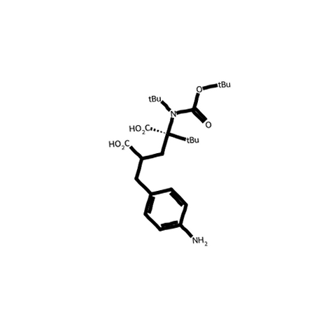 CC(C)(C)OC(=O)N(C(C)(C)C)[C@@](CC(Cc1ccc(N)cc1)C(=O)O)(C(=O)O)C(C)(C)C